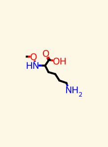 CONC(CCCCN)C(=O)O